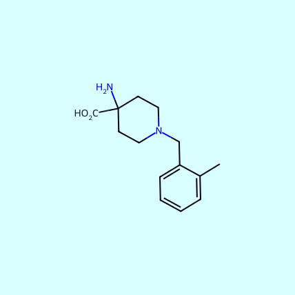 Cc1ccccc1CN1CCC(N)(C(=O)O)CC1